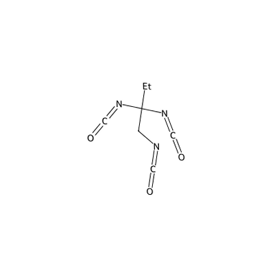 CCC(CN=C=O)(N=C=O)N=C=O